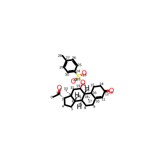 CC(=O)[C@H]1CC[C@H]2[C@@H]3CCC4=CC(=O)CC[C@]4(C)[C@H]3[C@H](OS(=O)(=O)c3ccc(C)cc3)C[C@]12C